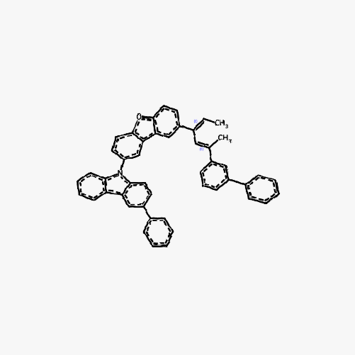 C/C=C(\C=C(/C)c1cccc(-c2ccccc2)c1)c1ccc2oc3ccc(-n4c5ccccc5c5cc(-c6ccccc6)ccc54)cc3c2c1